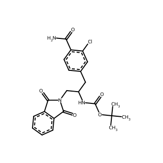 CC(C)(C)OC(=O)NC(Cc1ccc(C(N)=O)c(Cl)c1)CN1C(=O)c2ccccc2C1=O